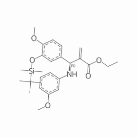 C=C(C(=O)OCC)[C@@H](Nc1cccc(OC)c1)c1ccc(OC)c(O[Si](C)(C)C(C)(C)C)c1